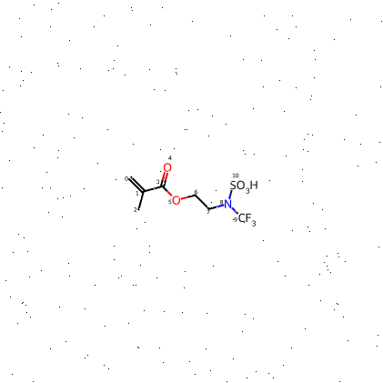 C=C(C)C(=O)OCCN(C(F)(F)F)S(=O)(=O)O